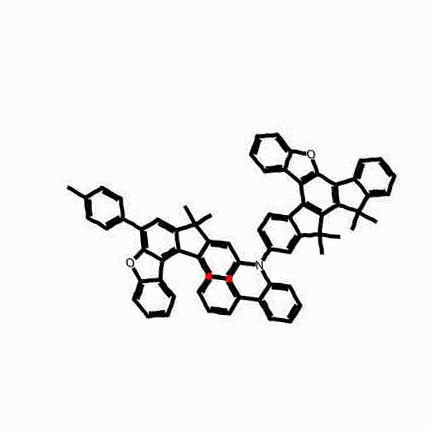 Cc1ccc(-c2cc3c(c4c2oc2ccccc24)-c2ccc(N(c4ccc5c(c4)C(C)(C)c4c6c(c7oc8ccccc8c7c4-5)-c4ccccc4C6(C)C)c4ccccc4-c4ccccc4)cc2C3(C)C)cc1